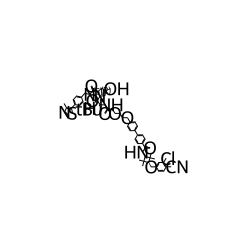 Cc1ncsc1-c1ccc(CNC(=O)[C@@H]2C[C@@H](O)CN2C(=O)C(NC(=O)COCCOc2ccc(-c3ccc(C(=O)N[C@H]4C(C)(C)[C@H](Oc5ccc(C#N)c(Cl)c5)C4(C)C)cc3)cc2)C(C)(C)C)cc1